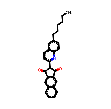 CCCCCCc1ccc2nc(C3C(=O)c4cc5ccccc5cc4C3=O)ccc2c1